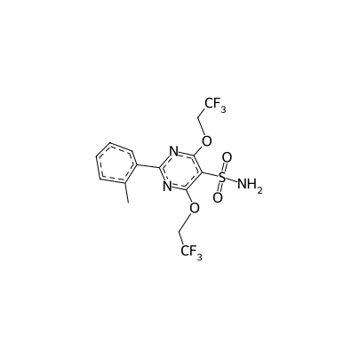 Cc1ccccc1-c1nc(OCC(F)(F)F)c(S(N)(=O)=O)c(OCC(F)(F)F)n1